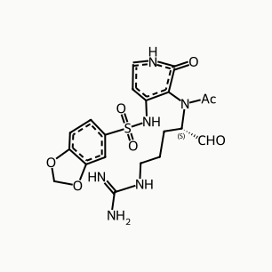 CC(=O)N(c1c(NS(=O)(=O)c2ccc3c(c2)OCO3)cc[nH]c1=O)[C@H](C=O)CCCNC(=N)N